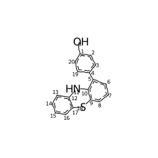 Oc1ccc(-c2cccc3c2Nc2ccccc2S3)cc1